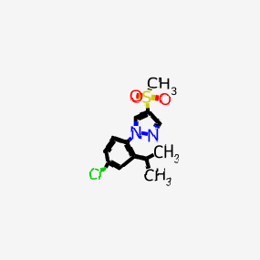 CC(C)c1cc(Cl)ccc1-n1cc(S(C)(=O)=O)cn1